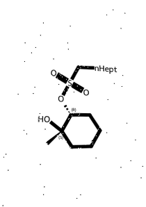 CCCCCCCCS(=O)(=O)O[C@@H]1CCCC[C@]1(C)O